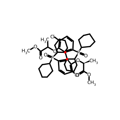 COC(=O)C(C)Oc1c(Cl)ccc(P(=O)(C2CCCCC2)C2CCCCC2)c1-c1c(P(=O)(C2CCCCC2)C2CCCCC2)ccc(Cl)c1O[C@@H](C)C(=O)OC